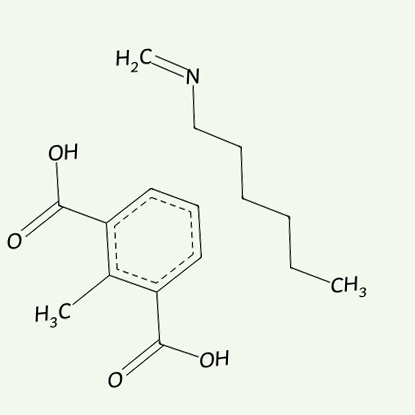 C=NCCCCCC.Cc1c(C(=O)O)cccc1C(=O)O